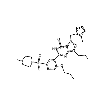 CCCOc1ccc(S(=O)(=O)N2CCN(C)CC2)cc1-c1nc2c(CCC)nn(Cc3ncnn3C)c2c(=O)[nH]1